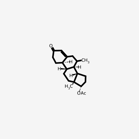 CC(=O)O[C@H]1CC[C@H]2[C@@H]3C(C)CC4=CC(=O)CC[C@@H]4[C@H]3CC[C@]12C